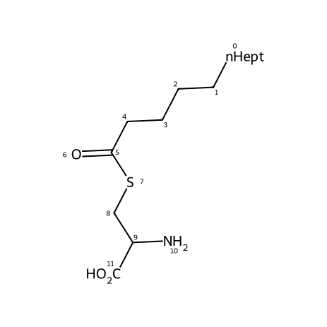 CCCCCCCCCCCC(=O)SCC(N)C(=O)O